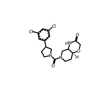 O=C1CO[C@H]2CCN(C(=O)N3CCC(c4cc(Cl)cc(Cl)c4)C3)CC2N1